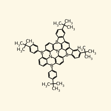 CC(C)(C)c1ccc(B2c3cccc4c3N3c5c2ccc2c5N5c6c7c(cc8c6B(c6ccc(C(C)(C)C)cc6-8)c6ccc(c3c65)B4c3ccc(C(C)(C)C)cc3)-c3cc(C(C)(C)C)ccc3B27)cc1